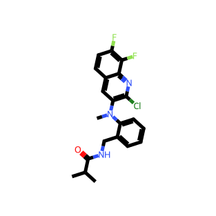 CC(C)C(=O)NCc1ccccc1N(C)c1cc2ccc(F)c(F)c2nc1Cl